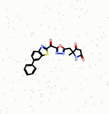 CC1(Cc2nnc(C(=O)c3nc4ccc(-c5ccccc5)cc4s3)o2)NC(=O)CC1=O